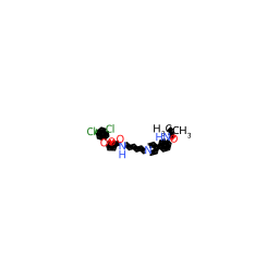 CC(C)C(=O)Nc1cccc(C2CCN(CCCCCCNC(=O)c3ccc(Oc4cc(Cl)cc(Cl)c4)o3)CC2)c1